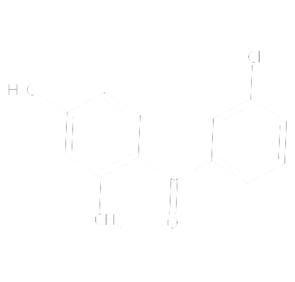 Cc1ccc(C(=O)c2cccc(Cl)c2)c(C)c1